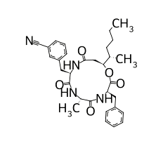 CCCC[C@H](C)[C@@H]1CC(=O)N[C@H](Cc2cccc(C#N)c2)C(=O)N[C@@H](C)C(=O)N[C@H](Cc2ccccc2)C(=O)O1